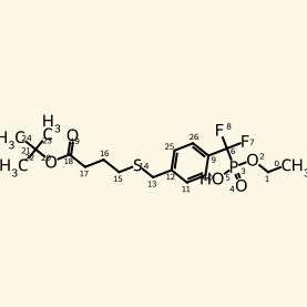 CCOP(=O)(O)C(F)(F)c1ccc(CSCCCC(=O)OC(C)(C)C)cc1